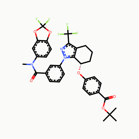 CN(C(=O)c1cccc(-n2nc(C(F)(F)F)c3c2[C@@H](Oc2ccc(C(=O)OC(C)(C)C)cc2)CCC3)c1)c1ccc2c(c1)OC(F)(F)O2